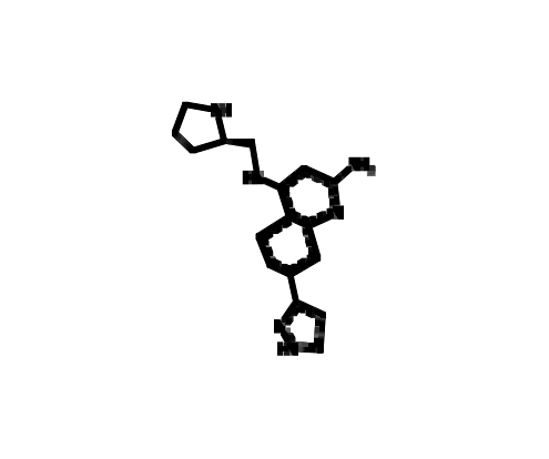 Nc1cc(NC[C@H]2CCCN2)c2ccc(-c3cc[nH]n3)cc2n1